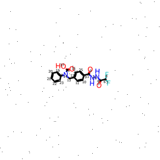 O=C(NNC(=O)C(F)F)c1ccc(CN(C(=O)O)c2ccccc2)cc1